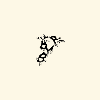 Cc1cc2ccc1CN(C)C(=O)Nc1ccc(S(=O)(=O)C(C)C)c(c1)CNC(=O)C2Nc1cc2c(=O)[nH]cnc2cc1F